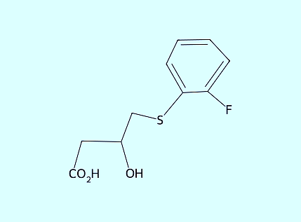 O=C(O)CC(O)CSc1ccccc1F